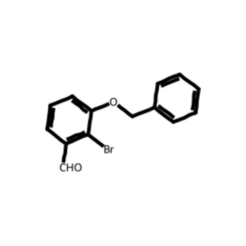 O=Cc1cccc(OCc2ccccc2)c1Br